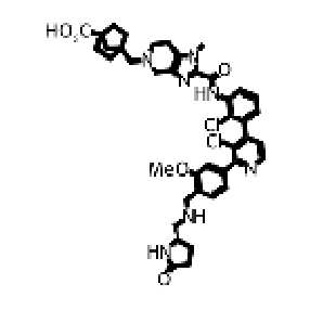 COc1cc(-c2nccc(-c3cccc(NC(=O)c4nc5c(n4C)CCN(CC46CCC(C(=O)O)(CC4)C6)C5)c3Cl)c2Cl)ccc1CNC[C@H]1CCC(=O)N1